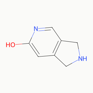 Oc1cc2c(cn1)CNC2